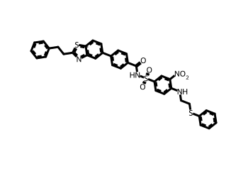 O=C(NS(=O)(=O)c1ccc(NCCSc2ccccc2)c([N+](=O)[O-])c1)c1ccc(-c2ccc3sc(CCc4ccccc4)nc3c2)cc1